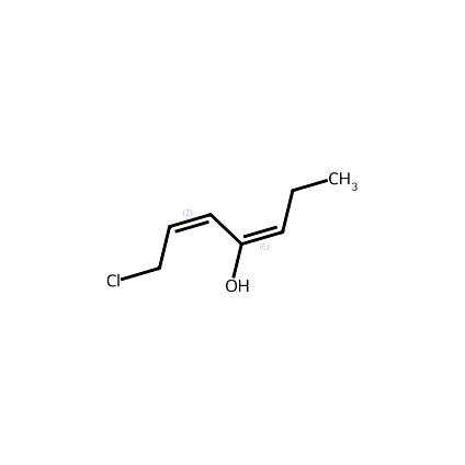 CC/C=C(O)\C=C/CCl